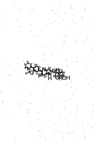 CC(=O)N1CCCCC1c1ccc(-c2nc3cc(O[C@@H]4CO[C@H]5[C@@H]4OC[C@H]5O)[nH]c3cc2F)cc1